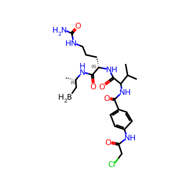 BC[C@H](C)NC(=O)[C@H](CCCNC(N)=O)NC(=O)C(NC(=O)c1ccc(NC(=O)CCl)cc1)C(C)C